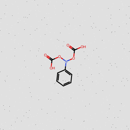 O=C(O)ON(OC(=O)O)c1ccccc1